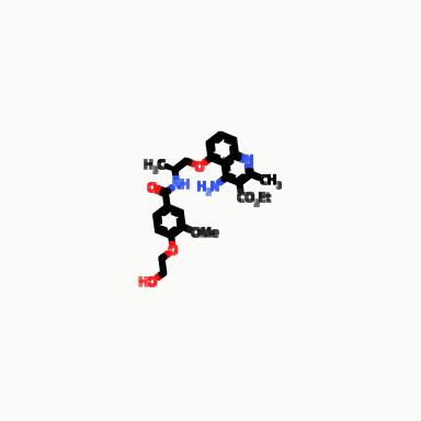 CCOC(=O)c1c(C)nc2cccc(OC[C@H](C)NC(=O)c3ccc(OCCO)c(OC)c3)c2c1N